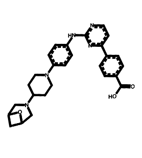 O=C(O)c1ccc(-c2ccnc(Nc3ccc(N4CCC(N5CC6CC(C5)O6)CC4)cc3)n2)cc1